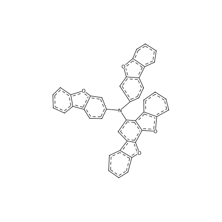 c1ccc2c(c1)oc1cc(N(c3ccc4c(c3)oc3ccccc34)c3cc4c5ccccc5oc4c4oc5ccccc5c34)ccc12